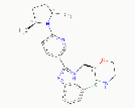 C[C@H]1CC[C@H](C)N1c1ccc(-c2nc3cccc(Cl)c3n2C[C@@H]2CNCCO2)cn1